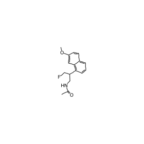 COc1ccc2cccc(C(CF)CNC(C)=O)c2c1